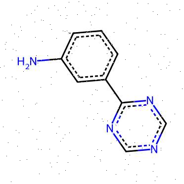 Nc1[c]ccc(-c2ncncn2)c1